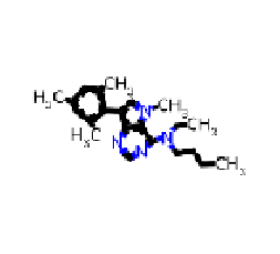 CCCCN(CC)c1ncnc2c(-c3c(C)cc(C)cc3C)cn(C)c12